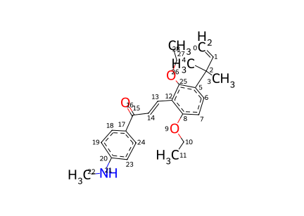 C=CC(C)(C)c1ccc(OCC)c(/C=C/C(=O)c2ccc(NC)cc2)c1OCC